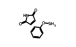 O=C1C=CC(=O)N1.[SiH3]Oc1ccccc1